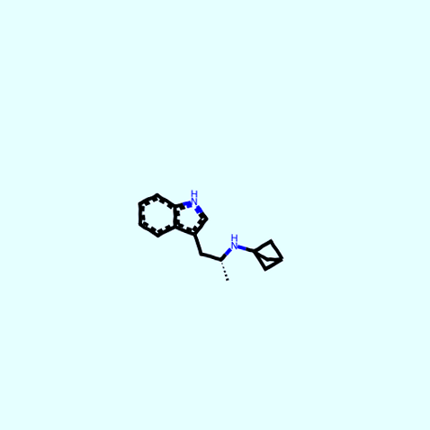 C[C@H](Cc1c[nH]c2ccccc12)NC12CC(C1)C2